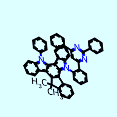 CC1(C)c2ccccc2-c2c1c1c3ccccc3n(-c3ccccc3)c1c1c3ccccc3n(-c3ccccc3-c3cc(-c4ccccc4)nc(-c4ccccc4)n3)c21